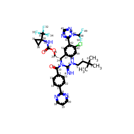 CC(C)(C)CCNC(=N)N(C(=O)c1ccc(-c2ncccn2)cc1)[C@H](COC(=O)NC1(C(F)(F)F)CC1)c1ccc(Cl)c(-c2ncnn2C(F)F)c1